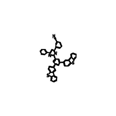 N#Cc1cccc(-c2cc(-c3ccccc3)nc(-c3cc(-c4ccc5sc6ccccc6c5c4)cc(-c4ccc5sc6ccccc6c5c4)c3)n2)c1